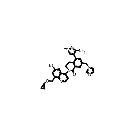 CCc1cc(COC2CC2)c2nccc(N3CCc4c(cc(Cn5ccnc5)cc4-c4cn(C)nc4C(F)(F)F)C3=O)c2c1